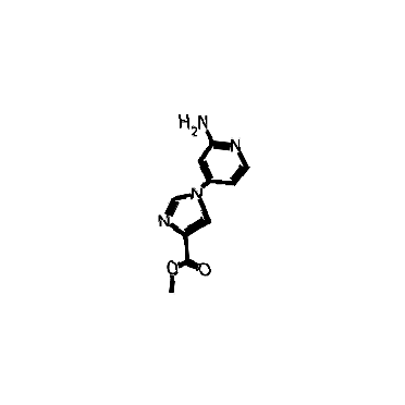 COC(=O)c1cn(-c2ccnc(N)c2)cn1